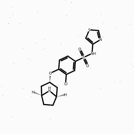 O=S(=O)(Nc1cscn1)c1ccc(O[C@@H]2C[C@H]3CC[C@@H](C2)N3)c(Cl)c1